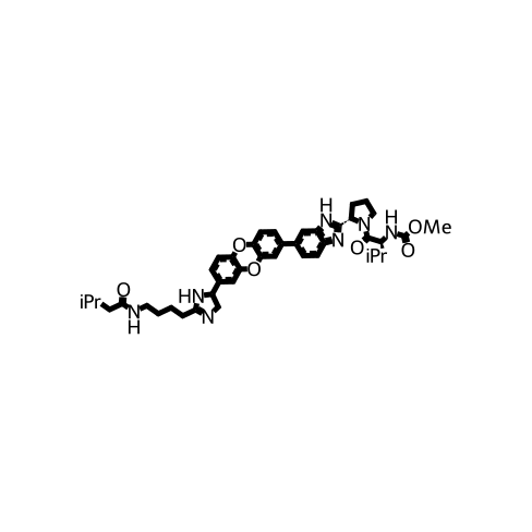 COC(=O)N[C@H](C(=O)N1CCC[C@H]1c1nc2ccc(-c3ccc4c(c3)Oc3cc(C5CN=C(CCCCNC(=O)CC(C)C)N5)ccc3O4)cc2[nH]1)C(C)C